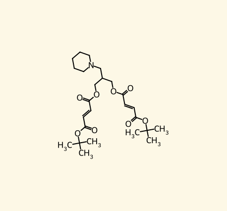 CC(C)(C)OC(=O)/C=C/C(=O)OCC(COC(=O)/C=C/C(=O)OC(C)(C)C)CN1CCCCC1